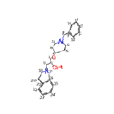 OC(COC1CCN(Cc2ccccc2)CC1)CN1CCc2ccccc2C1